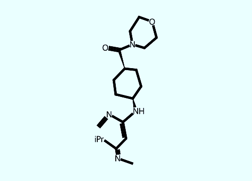 C=N/C(=C\C(=N/C)C(C)C)N[C@H]1CC[C@@H](C(=O)N2CCOCC2)CC1